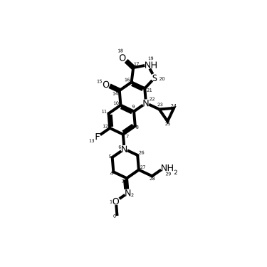 CON=C1CCN(c2cc3c(cc2F)c(=O)c2c(=O)[nH]sc2n3C2CC2)CC1CN